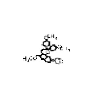 COCc1cc2ccc(N3CCOCC3)cc2c2c1C=CC(c1ccc(OC)cc1)(c1ccc(OC)cc1)O2